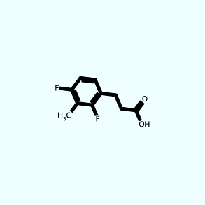 Cc1c(F)ccc(CCC(=O)O)c1F